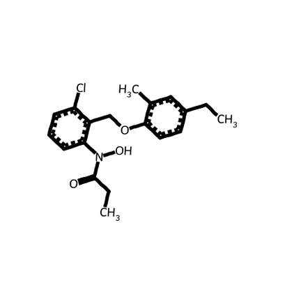 CCC(=O)N(O)c1cccc(Cl)c1COc1ccc(CC)cc1C